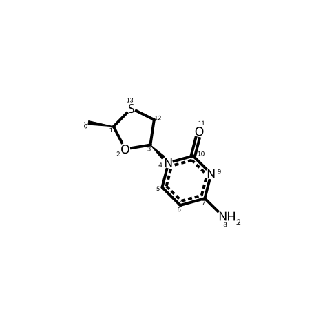 [CH2][C@@H]1O[C@H](n2ccc(N)nc2=O)CS1